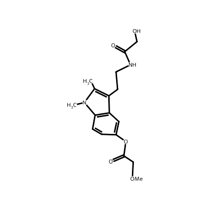 COCC(=O)Oc1ccc2c(c1)c(CCNC(=O)CO)c(C)n2C